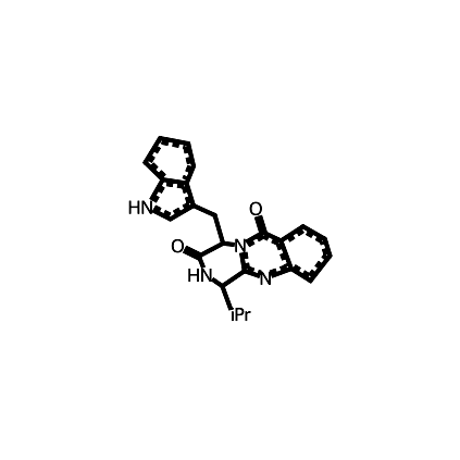 CC(C)C1NC(=O)C(Cc2c[nH]c3ccccc23)n2c1nc1ccccc1c2=O